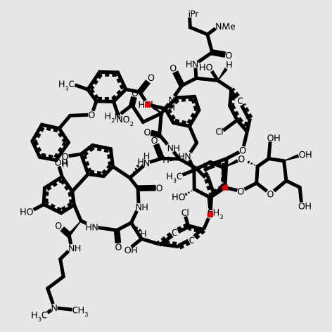 CNC(CC(C)C)C(=O)NC1C(=O)N[C@@H](CC(N)=O)C(=O)N[C@H]2C(=O)N[C@H]3C(=O)N[C@H](C(=O)N[C@@H](C(=O)NCCCN(C)C)c4cc(O)cc(O)c4-c4cc3ccc4O)C(O)c3ccc(c(Cl)c3)Oc3cc2cc(c3OC2OC(CO)[C@H](O)C(O)[C@H]2O[C@@H]2CC(C)(NCc3cccc(NC(=O)c4ccc(C)c(OCc5ccccc5)c4[N+](=O)[O-])c3)[C@@H](O)C(C)O2)Oc2ccc(cc2Cl)[C@H]1O